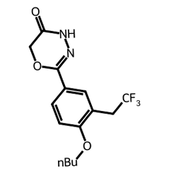 CCCCOc1ccc(C2=NNC(=O)CO2)cc1CC(F)(F)F